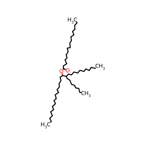 CCCCCCCCCCCCCCCCCC(=O)OC(CCCCCCCCCCCCCCCCC)C(CCCCCCCC)CCCCCCCCCCC